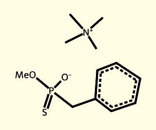 COP([O-])(=S)Cc1ccccc1.C[N+](C)(C)C